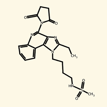 CCc1nc2c(N3C(=O)CCC3=O)nc3ccccc3c2n1CCCCNS(C)(=O)=O